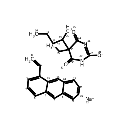 C=Cc1cccc2cc3ccccc3cc12.CCCC(C)C1(CC)C(=O)N=C([O-])NC1=O.[Na+]